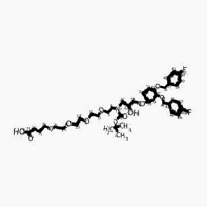 CC(C)(C)OC(=O)N(CCOCCOCCOCCOCCCC(=O)O)CC(O)COc1ccc(OCc2ccc(F)cc2)c(OCc2ccc(F)cc2)c1